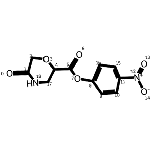 O=C1COC(C(=O)Oc2ccc([N+](=O)[O-])cc2)CN1